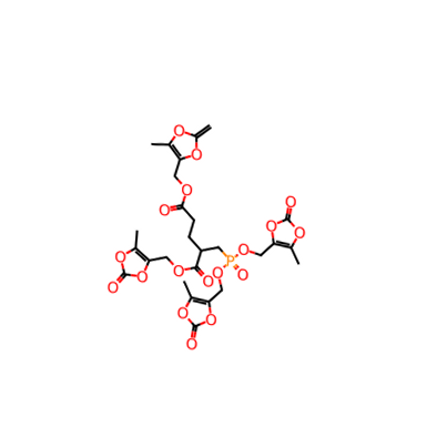 C=C1OC(C)=C(COC(=O)CCC(CP(=O)(OCc2oc(=O)oc2C)OCc2oc(=O)oc2C)C(=O)OCc2oc(=O)oc2C)O1